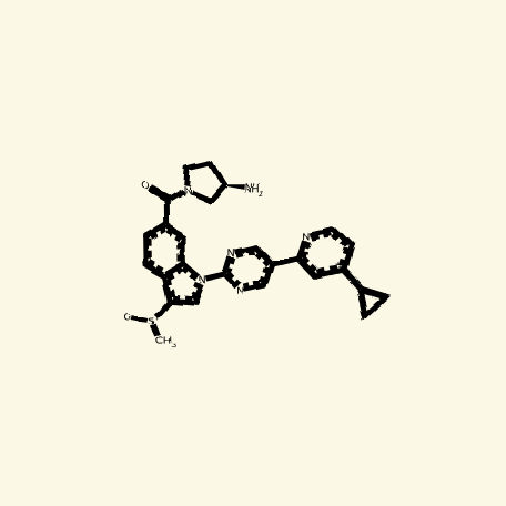 C[S+]([O-])c1cn(-c2ncc(-c3cc(C4CC4)ccn3)cn2)c2cc(C(=O)N3CC[C@@H](N)C3)ccc12